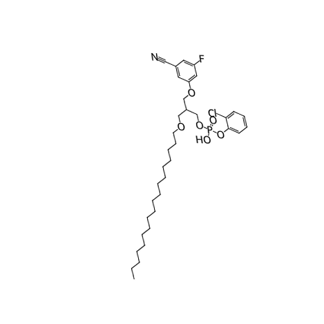 CCCCCCCCCCCCCCCCCCOCC(COc1cc(F)cc(C#N)c1)COP(=O)(O)Oc1ccccc1Cl